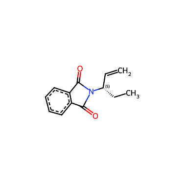 C=C[C@H](CC)N1C(=O)c2ccccc2C1=O